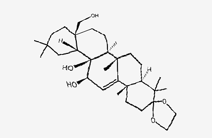 CC1(C)CC[C@]2(CO)CC[C@]3(C)[C@](O)([C@H](O)C=C4[C@@]5(C)CCC6(OCCO6)C(C)(C)[C@@H]5CC[C@]43C)[C@@H]2C1